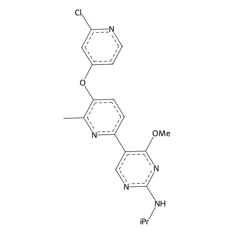 COc1nc(NC(C)C)ncc1-c1ccc(Oc2ccnc(Cl)c2)c(C)n1